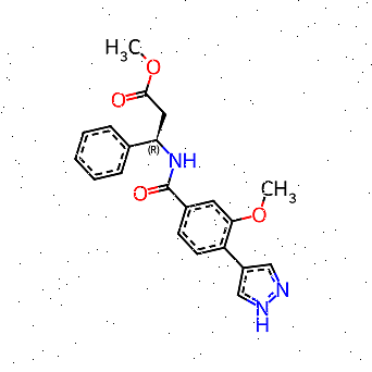 COC(=O)C[C@@H](NC(=O)c1ccc(-c2cn[nH]c2)c(OC)c1)c1ccccc1